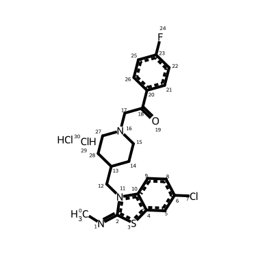 C/N=c1/sc2cc(Cl)ccc2n1CC1CCN(CC(=O)c2ccc(F)cc2)CC1.Cl.Cl